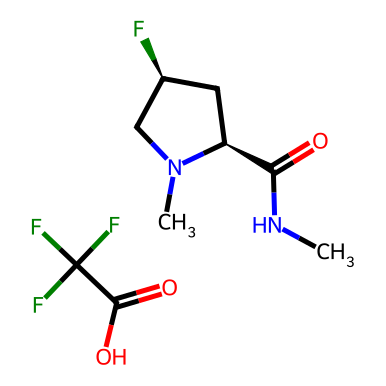 CNC(=O)[C@@H]1C[C@H](F)CN1C.O=C(O)C(F)(F)F